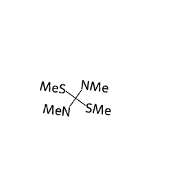 CNC(NC)(SC)SC